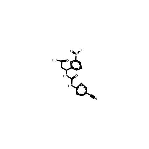 N#Cc1ccc(NC(=O)NC(CC(=O)O)c2cccc([N+](=O)[O-])c2)cc1